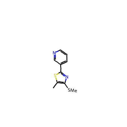 CSc1nc(-c2cccnc2)sc1C